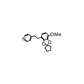 COc1ccc(CCc2ccncc2)c2c1OC1(CCCC1)O2